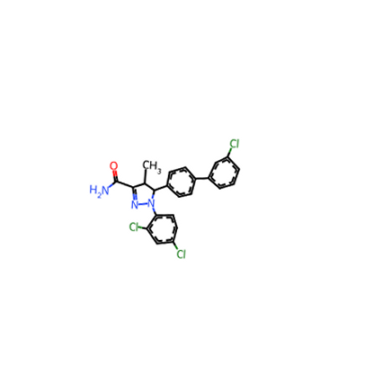 CC1C(C(N)=O)=NN(c2ccc(Cl)cc2Cl)C1c1ccc(-c2cccc(Cl)c2)cc1